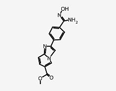 COC(=O)c1ccc2nc(-c3ccc(C(N)=NO)cc3)cn2c1